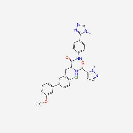 Cn1cnnc1-c1ccc(NC(=O)C(Cc2cc(-c3cccc(OC(F)(F)F)c3)ccc2Cl)NC(=O)c2ccnn2C)cc1